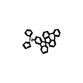 c1ccc(N(c2ccccc2)c2ccc3c(c2)-c2ccccc2C32c3cccc4c5ccccc5c5cccc2c5c34)cc1